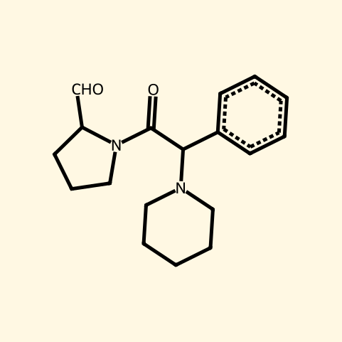 O=CC1CCCN1C(=O)C(c1ccccc1)N1CCCCC1